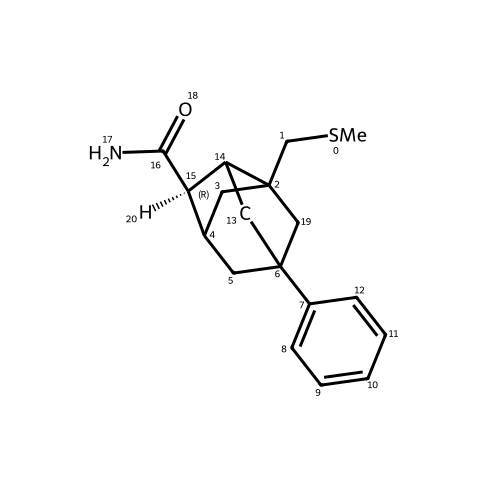 CSCC12CC3CC(c4ccccc4)(CC1[C@@H]3C(N)=O)C2